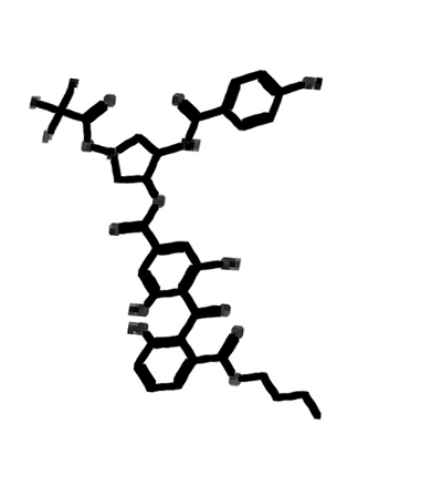 CCCCOC(=O)c1cccc(O)c1C(=O)c1c(O)cc(C(=O)OC2CN(OC(=O)C(F)(F)F)CC2NC(=O)c2ccc(O)cc2)cc1O